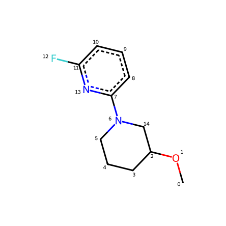 COC1CCCN(c2cccc(F)n2)C1